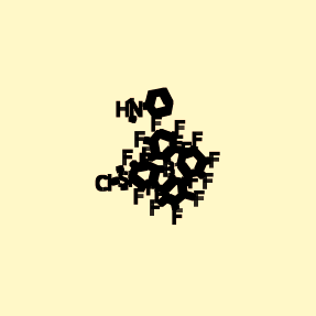 C[NH+](C)c1ccccc1.C[Si](C)(Cl)c1c(F)c(F)c([B-](c2c(F)c(F)c(F)c(F)c2F)(c2c(F)c(F)c(F)c(F)c2F)c2c(F)c(F)c(F)c(F)c2F)c(F)c1F